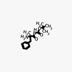 CC(C)(C)OC(=O)NC(=O)[C@](C)(N)Cc1ccccc1